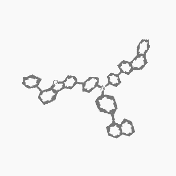 c1ccc(-c2cccc3c2oc2ccc(-c4ccc(N(c5ccc(-c6ccc7c(ccc8ccccc87)c6)cc5)c5ccc(-c6cccc7ccccc67)cc5)cc4)cc23)cc1